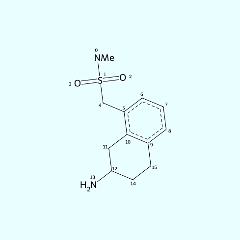 CNS(=O)(=O)Cc1cccc2c1CC(N)CC2